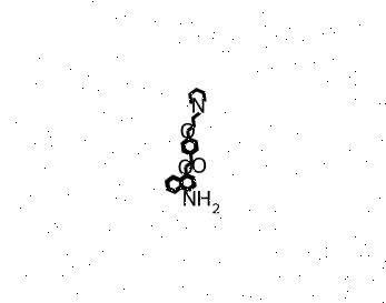 Nc1ccc(OC(=O)c2ccc(OCCCN3CCCCC3)cc2)c2ccccc12